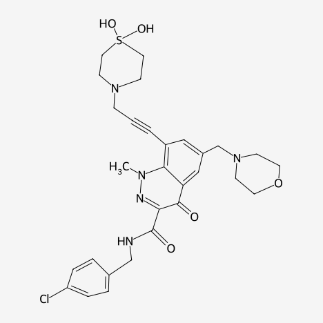 Cn1nc(C(=O)NCc2ccc(Cl)cc2)c(=O)c2cc(CN3CCOCC3)cc(C#CCN3CCS(O)(O)CC3)c21